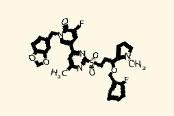 Cc1cc(-c2cc(F)c(=O)n(Cc3ccc4c(c3)OCO4)c2)nc(S(=O)(=O)CCC(OCc2ccccc2F)c2cccn2C)n1